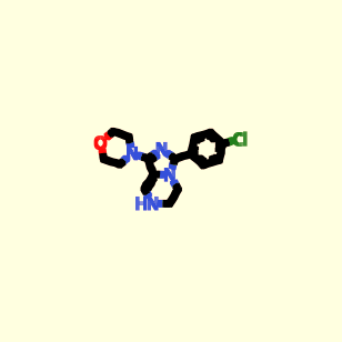 Clc1ccc(C2N=C(N3CCOCC3)C3=CNCCN32)cc1